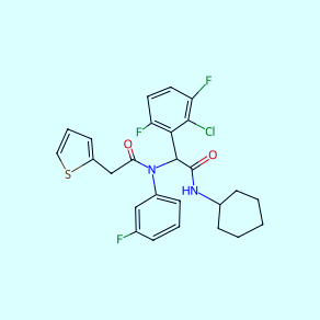 O=C(NC1CCCCC1)C(c1c(F)ccc(F)c1Cl)N(C(=O)Cc1cccs1)c1cccc(F)c1